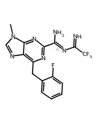 Cn1cnc2c(Cc3ccccc3F)nc(/C(N)=N/C(=N)C(F)(F)F)nc21